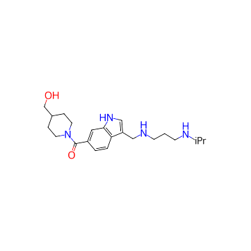 CC(C)NCCCNCc1c[nH]c2cc(C(=O)N3CCC(CO)CC3)ccc12